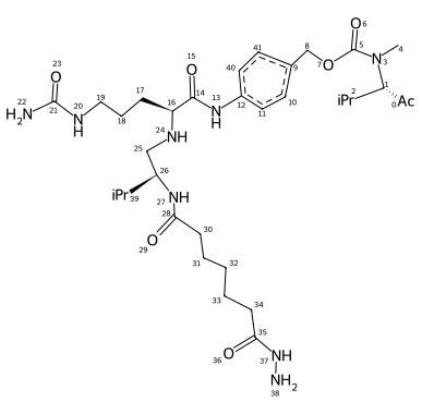 CC(=O)[C@H](C(C)C)N(C)C(=O)OCc1ccc(NC(=O)[C@H](CCCNC(N)=O)NC[C@@H](NC(=O)CCCCCC(=O)NN)C(C)C)cc1